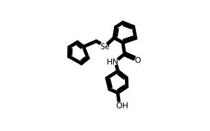 O=C(Nc1ccc(O)cc1)c1ccccc1[Se]Cc1ccccc1